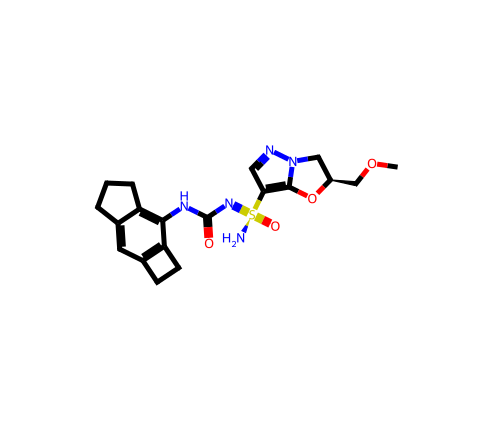 COC[C@@H]1Cn2ncc([S@](N)(=O)=NC(=O)Nc3c4c(cc5c3CC5)CCC4)c2O1